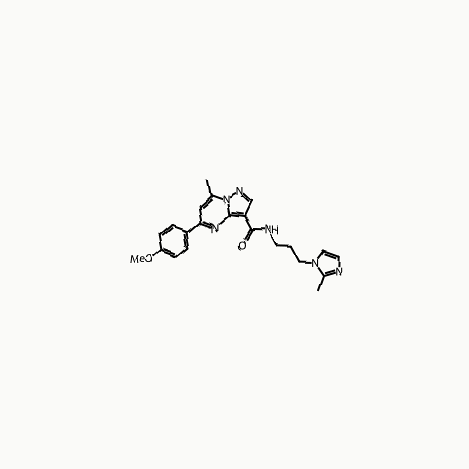 COc1ccc(-c2cc(C)n3ncc(C(=O)NCCCn4ccnc4C)c3n2)cc1